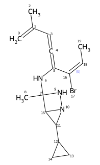 C=C(C)C=C=C(NC1(C)NN2C(C3CC3)C21)/C(Br)=C\C